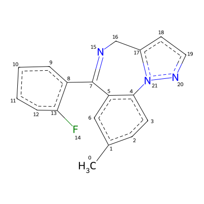 Cc1ccc2c(c1)C(c1ccccc1F)=NCc1ccnn1-2